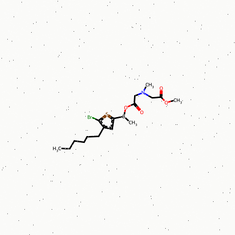 CCCCCCc1cc(B(C)OC(=O)CN(C)CC(=O)OC)sc1Br